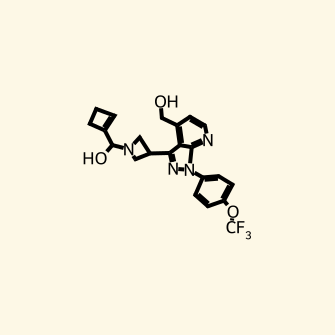 OCc1ccnc2c1c(C1CN(C(O)C3=CCC3)C1)nn2-c1ccc(OC(F)(F)F)cc1